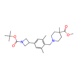 COC(=O)C1(C)CCN(Cc2c(C)cc(C3CN(C(=O)OC(C)(C)C)C3)cc2C)CC1